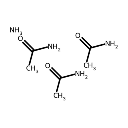 CC(N)=O.CC(N)=O.CC(N)=O.N